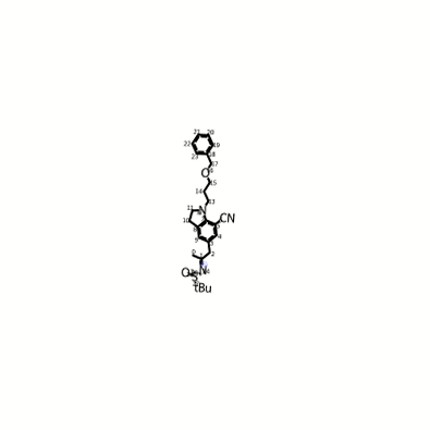 C/C(Cc1cc(C#N)c2c(c1)CCN2CCCOCc1ccccc1)=N\[S@@+]([O-])C(C)(C)C